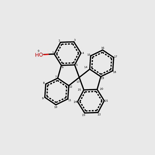 Oc1cccc2c1-c1ccccc1C21c2ccccc2-c2ccccc21